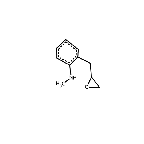 CNc1ccccc1CC1CO1